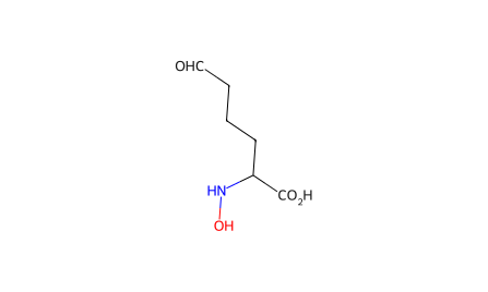 O=CCCCC(NO)C(=O)O